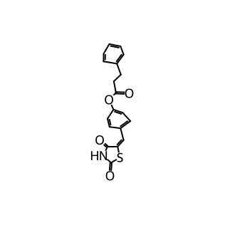 O=C(CCc1ccccc1)Oc1ccc(C=C2SC(=O)NC2=O)cc1